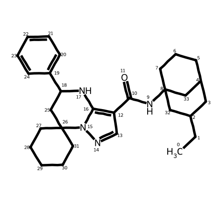 CCC1CC2CCCC(NC(=O)c3cnn4c3NC(c3ccccc3)CC43CCCCC3)(C1)C2